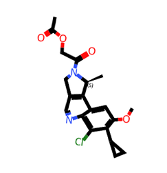 COc1cc2c3c(cnc2c(Cl)c1C1CC1)CN(C(=O)COC(C)=O)[C@H]3C